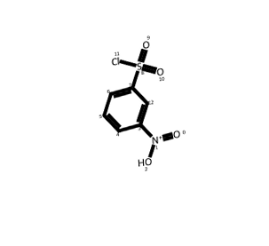 O=[N+](O)c1cccc(S(=O)(=O)Cl)c1